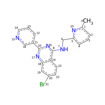 Cc1cccc(CNc2nc(-c3cccnc3)nc3cc(Br)ccc23)n1